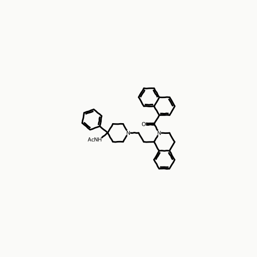 CC(=O)NC1(c2ccccc2)CCN(CCC2c3ccccc3CCN2C(=O)c2cccc3ccccc23)CC1